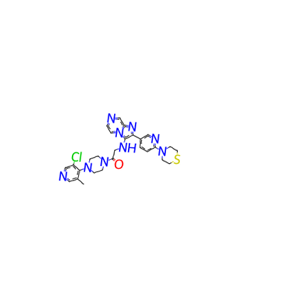 Cc1cncc(Cl)c1N1CCN(C(=O)CNc2c(-c3ccc(N4CCSCC4)nc3)nc3cnccn23)CC1